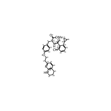 COC(=O)[C@H](Cc1ccc(OCCc2ccc3c(n2)NCCC3)cc1)NC(=O)c1c(Cl)cccc1C1CC1